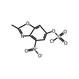 Cc1nc2c([N+](=O)[O-])cc(OS(=O)(=O)Cl)cc2o1